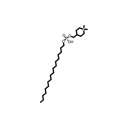 CCCCCCCCCCCCCCCCCCOP(=O)(O)OCC1CC[N+](C)(C)CC1